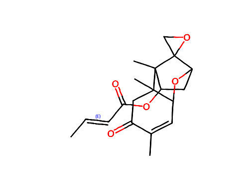 C/C=C/C(=O)OC1CC2OC3C=C(C)C(=O)CC3(C)C1(C)C21CO1